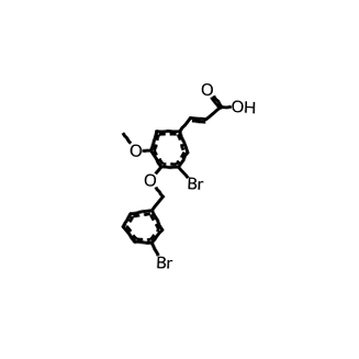 COc1cc(C=CC(=O)O)cc(Br)c1OCc1cccc(Br)c1